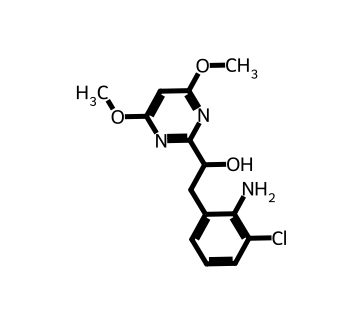 COc1cc(OC)nc(C(O)Cc2cccc(Cl)c2N)n1